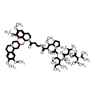 CC[C@H]1CN2CCc3cc(OC)c(OC)cc3C2C[C@@H]1C[C@@H]1c2cc(OC)c(OC)cc2CCN1C(=O)CCNC(=O)[C@H](C)[C@@H](OC)C1CCCN1C(=O)C[C@@H](OC)[C@H]([C@@H](C)CC)N(C)C(=O)[C@@H](NC(=O)[C@H](C(C)C)N(C)C)C(C)C